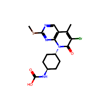 CSc1ncc2c(C)c(Br)c(=O)n([C@H]3CC[C@H](NC(=O)O)CC3)c2n1